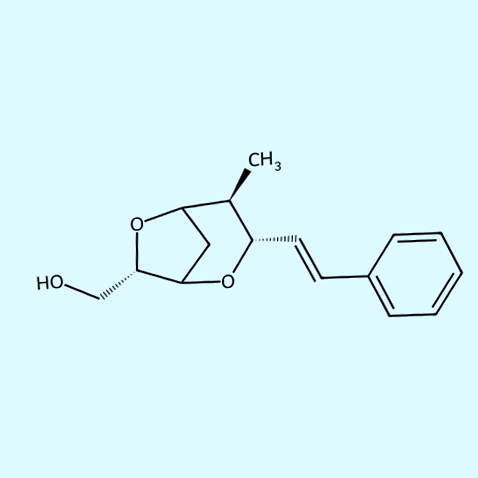 C[C@@H]1C2CC(O[C@H]1/C=C/c1ccccc1)[C@H](CO)O2